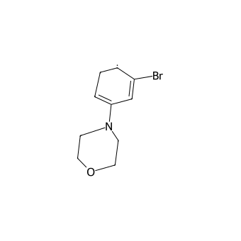 BrC1=CC(N2CCOCC2)=CC[CH]1